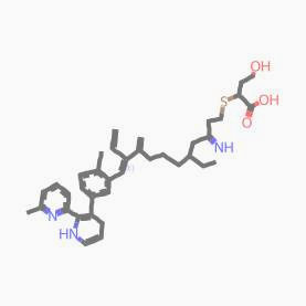 C=C/C(=C\c1cc(C2=C(c3cccc(C)n3)NC=CC2)ccc1C)C(=C)CCCC(CC)CC(=N)CCSC(CCO)C(=O)O